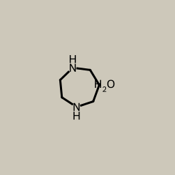 C1CNCCNC1.O